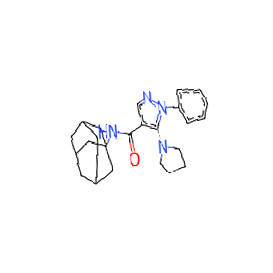 O=C(NC12CC3CC(CC(C3)C1)C2)c1cnn(-c2ccccc2)c1N1CCCC1